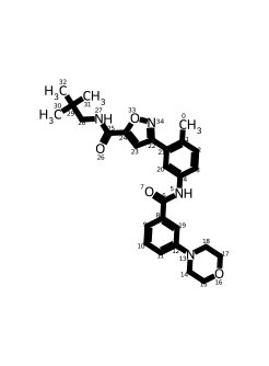 Cc1ccc(NC(=O)c2cccc(N3CCOCC3)c2)cc1-c1cc(C(=O)NCC(C)(C)C)on1